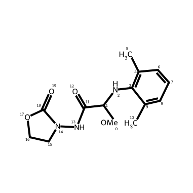 COC(Nc1c(C)cccc1C)C(=O)NN1CCOC1=O